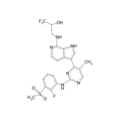 Cc1cnc(Nc2cccc(S(C)(=O)=O)c2F)nc1-c1c[nH]c2c(NCC(O)C(F)(F)F)nccc12